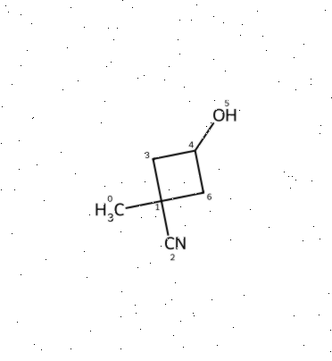 CC1(C#N)CC(O)C1